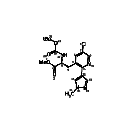 COC(=O)[C@H](Cc1cc(Cl)cnc1-c1cnn(C)c1)NC(=O)OC(C)(C)C